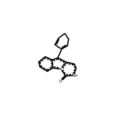 O=c1[nH]ccc2c(C3=CCCC=C3)c3ccccc3n12